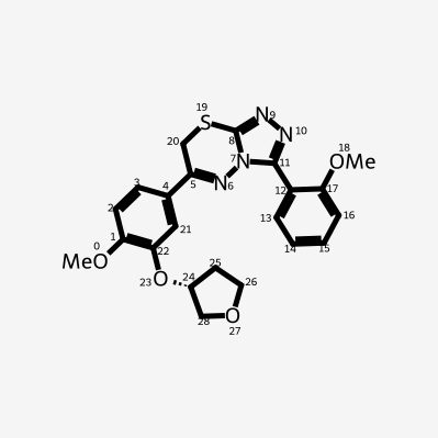 COc1ccc(C2=Nn3c(nnc3-c3ccccc3OC)SC2)cc1O[C@@H]1CCOC1